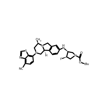 C[C@@H]1CN(c2ccc(C#N)c3ncsc23)C[C@@H]2c3ccc(N[C@H]4CN(C(=O)OC(C)(C)C)C[C@H]4F)cc3CN12